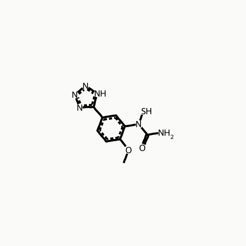 COc1ccc(-c2nnn[nH]2)cc1N(S)C(N)=O